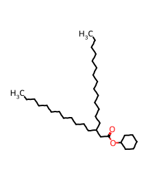 CCCCCCCCCCCCCCC(CCCCCCCCCCCC)CC(=O)OC1CCCCC1